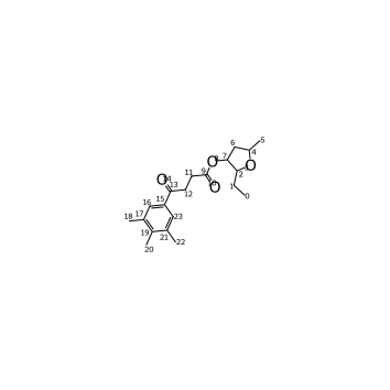 CCC1OC(C)CC1OC(=O)CCC(=O)c1cc(C)c(C)c(C)c1